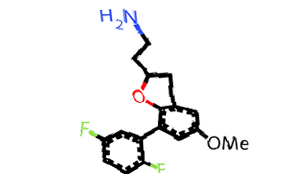 COc1cc2c(c(-c3cc(F)ccc3F)c1)OC(CCN)C2